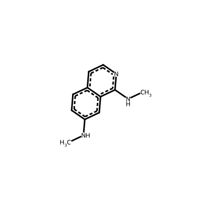 CNc1ccc2ccnc(NC)c2c1